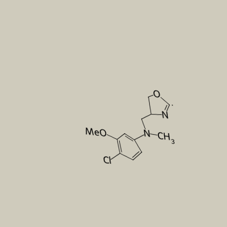 COc1cc(N(C)CC2CO[C]=N2)ccc1Cl